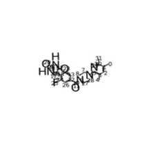 Cc1cc(C)c(N2CCN(C(=O)c3ccc([C@@]4(C)NC(=O)NC4=O)c(F)c3)CC2)nc1C